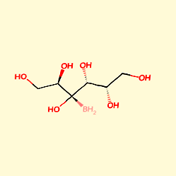 B[C@@](O)([C@H](O)CO)[C@H](O)[C@@H](O)CO